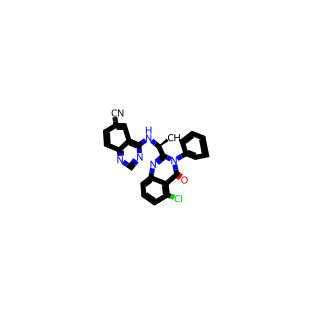 C[C@H](Nc1ncnc2ccc(C#N)cc12)c1nc2cccc(Cl)c2c(=O)n1-c1ccccc1